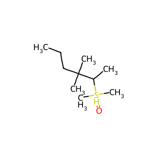 CCCC(C)(C)C(C)[SH](C)(C)=O